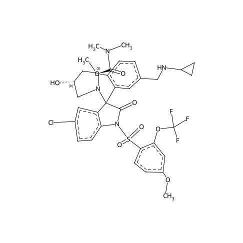 COc1ccc(S(=O)(=O)N2C(=O)C(c3cc(CNC4CC4)ccc3OC)(N3C[C@H](O)C[C@H]3C(=O)N(C)C)c3cc(Cl)ccc32)c(OC(F)(F)F)c1